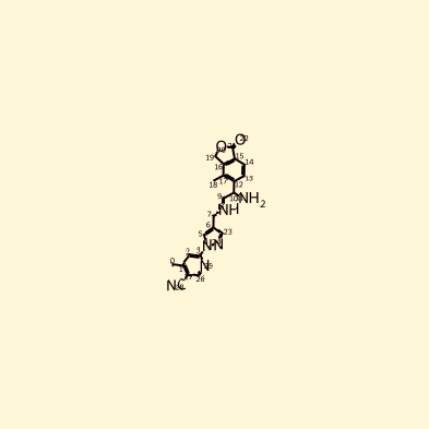 Cc1cc(-n2cc(CNCC(N)c3ccc4c(c3C)COC4=O)cn2)ncc1C#N